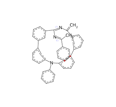 C=C1/N=C(\N=C(/C)c2ccccc2)c2cccc(c2)-c2cccc(c2)N(c2ccccc2)c2cccc(c2)-c2cccc1c2